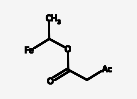 CC(=O)CC(=O)O[CH](C)[Fe]